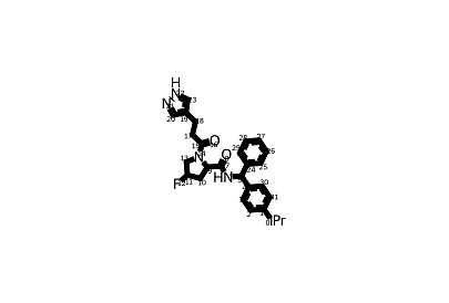 CC(C)c1ccc(C(NC(=O)C2CC(F)CN2C(=O)CCc2cn[nH]c2)c2ccccc2)cc1